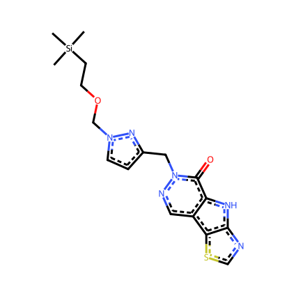 C[Si](C)(C)CCOCn1ccc(Cn2ncc3c([nH]c4ncsc43)c2=O)n1